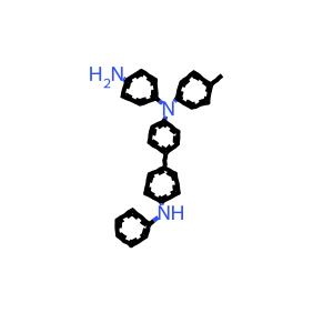 Cc1ccc(N(c2ccc(N)cc2)c2ccc(-c3ccc(Nc4ccccc4)cc3)cc2)cc1